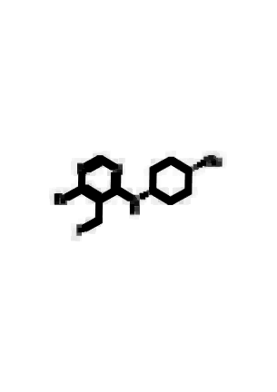 CCc1ncnc(N[C@H]2CC[C@@H](C(C)(C)C)CC2)c1CF